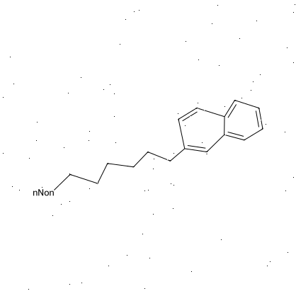 CCCCCCCCCCCCCCCc1[c]c2ccccc2cc1